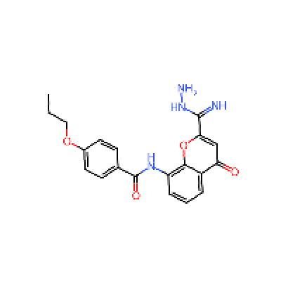 CCCOc1ccc(C(=O)Nc2cccc3c(=O)cc(C(=N)NN)oc23)cc1